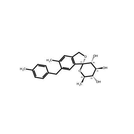 Cc1ccc(Cc2cc3c(cc2C)CO[C@]32O[C@H](C)[C@@H](O)[C@H](O)[C@H]2O)cc1